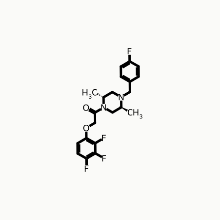 C[C@@H]1CN(Cc2ccc(F)cc2)[C@@H](C)CN1C(=O)COc1ccc(F)c(F)c1F